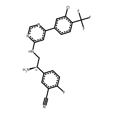 N#Cc1cc([C@@H](N)CNc2cc(-c3ccc(C(F)(F)F)c(Cl)c3)ncn2)ccc1F